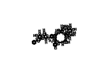 CC(c1ccc(Cl)cc1)C1NC(=O)CNC(=O)C(CO)NC(=O)C(C(O)C2CNC(=N)N2C2OC(CO)C(O)C(O)C2O)NC(=O)C(C(O)C2CNC(=N)N2)NC(=O)C(Cc2ccc(OC3OC(CO)C(OC4OC5COC(c6ccccc6)OC5C(O)C4O)C(O)C3O)cc2)NC1=O